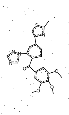 COc1cc(C(=O)c2ccc(-c3csc(C)n3)cc2-n2cncn2)cc(OC)c1OC